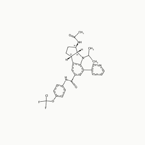 CC(=O)N[C@@H]1CC[C@H]2c3cc(C(=O)Nc4ccc(OC(F)(F)Cl)cc4)cc(-c4cccnc4)c3N(C(C)C)[C@@H]12